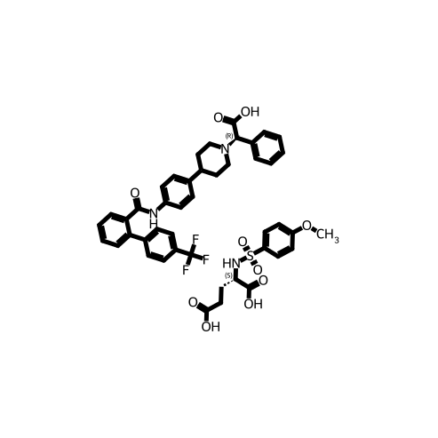 COc1ccc(S(=O)(=O)N[C@@H](CCC(=O)O)C(=O)O)cc1.O=C(Nc1ccc(C2CCN([C@@H](C(=O)O)c3ccccc3)CC2)cc1)c1ccccc1-c1ccc(C(F)(F)F)cc1